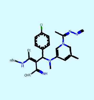 C=N/N=C(/C)N1C=C(N(C)C(/C(C(=N)C=O)=C(\CC)NCCCC)c2ccc(Cl)cc2)C=C(C)C1